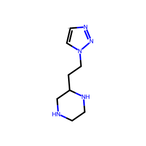 [c]1cn(CCC2CNCCN2)nn1